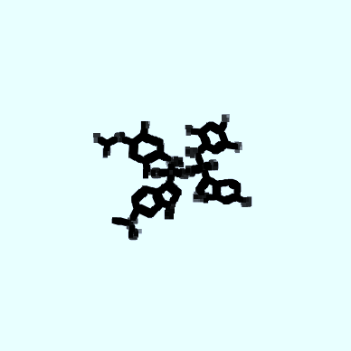 C[S+]([O-])c1ccc2c(S(=O)(=O)Nc3cc(F)c(OC(F)F)cc3F)c[nH]c2c1.O=S(=O)(Nc1cc(F)c(F)cc1F)c1c[nH]c2cc(Cl)ccc12